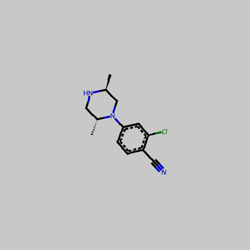 C[C@@H]1CN[C@@H](C)CN1c1ccc(C#N)c(Cl)c1